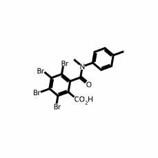 Cc1ccc(N(C)C(=O)c2c(Br)c(Br)c(Br)c(Br)c2C(=O)O)cc1